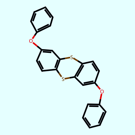 c1ccc(Oc2ccc3c(c2)Sc2ccc(Oc4ccccc4)cc2S3)cc1